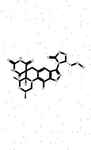 CCOC[C@H]1OOC(=O)N1c1noc2c(F)c3c(cc12)CC1(C(=O)NC(=O)NC1=O)[C@H]1[C@H](C)O[C@H](C)CN31